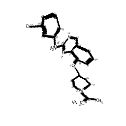 CC(C)N1CCC(Oc2cccc3cnc(Nc4cccc(Cl)c4)nc23)CC1